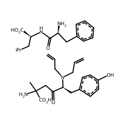 C=CCN(CC=C)[C@@H](Cc1ccc(O)cc1)C(=O)CC(C)(N)C(=O)O.CC(C)C[C@H](NC(=O)[C@@H](N)Cc1ccccc1)C(=O)O